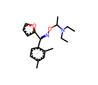 CCN(CC)C(C)ON=C(c1ccco1)c1ccc(C)cc1C